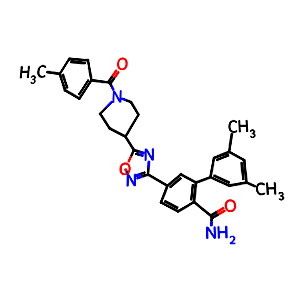 Cc1ccc(C(=O)N2CCC(c3nc(-c4ccc(C(N)=O)c(-c5cc(C)cc(C)c5)c4)no3)CC2)cc1